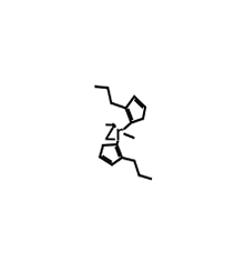 CCCC1=[C]([Zr]([CH3])([CH3])[C]2=C(CCC)C=CC2)CC=C1